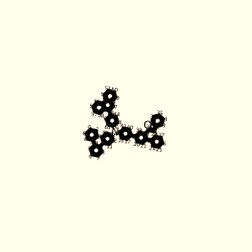 c1ccc(-c2ccccc2-c2ccc(N(c3ccc(-c4ccc(-c5ccccc5)c(-c5cc6ccccc6o5)c4)cc3)c3ccc(-c4cc5ccccc5c5ccccc45)cc3)cc2)cc1